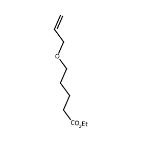 C=CCOCCCCC(=O)OCC